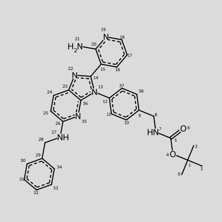 CC(C)(C)OC(=O)NCc1ccc(-n2c(-c3cccnc3N)nc3ccc(NCc4ccccc4)nc32)cc1